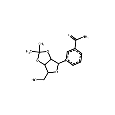 CC1(C)OC2C(CO)OC([n+]3cccc(C(N)=O)c3)C2O1